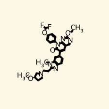 CCOc1ncc2cc(-c3ccc4nc(CCN5CC[C@@H](OC)C5)n(C)c4c3)c(=O)n(-c3ccc(OC(F)F)cc3)c2n1